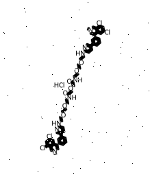 CN1Cc2c(Cl)cc(Cl)cc2[C@H](c2cccc(-c3ccc(NCCOCCOCCNC(=O)COCC(=O)NCCOCCOCCNc4ccc(-c5cccc([C@@H]6CN(C)Cc7c(Cl)cc(Cl)cc76)c5)cn4)nc3)c2)C1.Cl